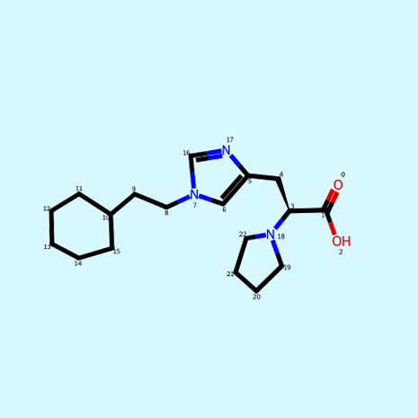 O=C(O)[C@H](Cc1cn(CCC2CCCCC2)cn1)N1CCCC1